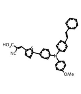 COc1ccc(N(c2ccc(/C=C/c3ccccc3)cc2)c2ccc(-c3ccc(/C=C(\C#N)C(=O)O)s3)cc2)cc1